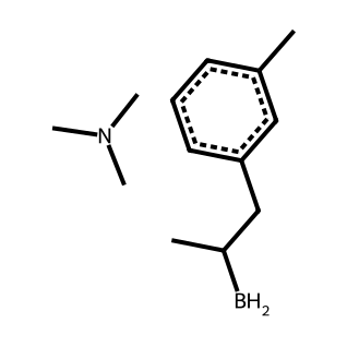 BC(C)Cc1cccc(C)c1.CN(C)C